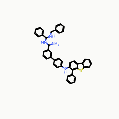 NC(NC(NCc1ccccc1)c1ccccc1)c1cccc(-c2ccc(Nc3ccc4c(sc5ccccc54)c3-c3ccccc3)cc2)c1